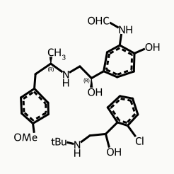 CC(C)(C)NCC(O)c1ccccc1Cl.COc1ccc(C[C@@H](C)NC[C@H](O)c2ccc(O)c(NC=O)c2)cc1